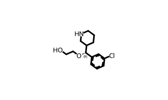 OCCO[C@@H](c1cccc(Cl)c1)C1CCCNC1